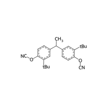 CC(c1ccc(OC#N)c(C(C)(C)C)c1)c1ccc(OC#N)c(C(C)(C)C)c1